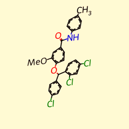 COc1cc(C(=O)Nc2ccc(C)cc2)ccc1OC(c1ccc(Cl)cc1)c1ccc(Cl)cc1Cl